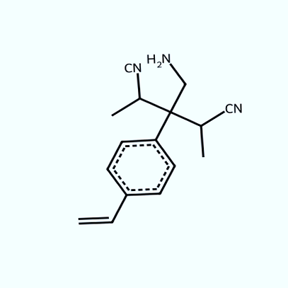 C=Cc1ccc(C(CN)(C(C)C#N)C(C)C#N)cc1